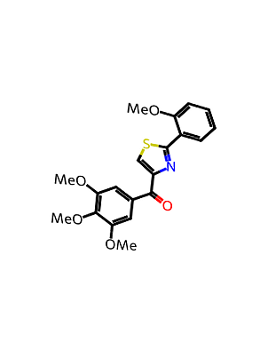 COc1ccccc1-c1nc(C(=O)c2cc(OC)c(OC)c(OC)c2)cs1